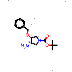 CC(C)(C)OC(=O)N1C[C@H](OCc2ccccc2)[C@@H](N)C1